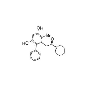 O=C(Cc1c(Br)c(O)cc(O)c1-c1ccccc1)N1CCCCC1